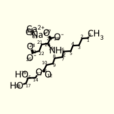 CCCCCCCCCCCC(=O)OCC(O)CO.NC(CCC(=O)[O-])C(=O)[O-].[Ca+2].[Cl-].[Na+]